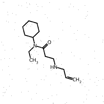 C=CCNCCC(=O)N(CC)C1CCCCC1